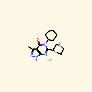 Cc1n[nH]c2nc(C3CCCNC3)n(C3CCCCC3)c(=O)c12.Cl